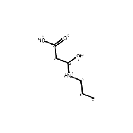 CCCNC(O)CC(=O)O